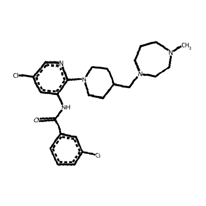 CN1CCCN(CC2CCN(c3ncc(Cl)cc3NC(=O)c3cccc(Cl)c3)CC2)CC1